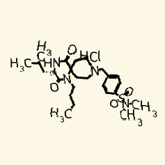 CCCCN1C(=O)[C@H](CC(C)C)NC(=O)C12CCN(Cc1ccc(S(=O)(=O)N(C)C)cc1)CC2.Cl